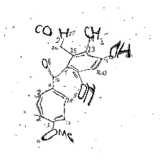 COc1ccc(C(=O)c2c(O)cc(O)c(C)c2CC(=O)O)cc1